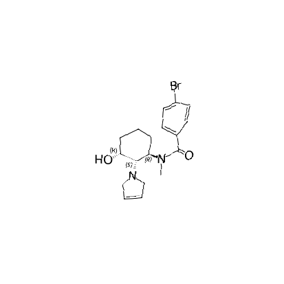 CN(C(=O)c1ccc(Br)cc1)[C@@H]1CCC[C@@H](O)[C@H]1N1CC=CC1